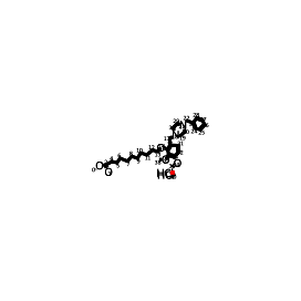 COC(=O)CCCCCCCCCCOc1c(CN2CCN(Cc3ccccc3)CC2)ccc(OC)c1OC.Cl.Cl